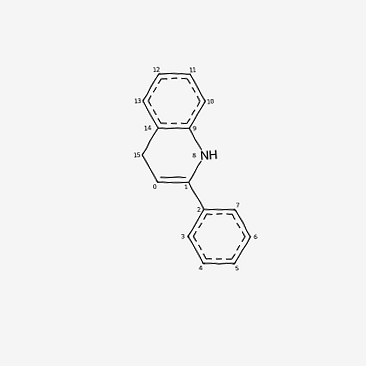 C1=C(c2ccccc2)Nc2ccccc2C1